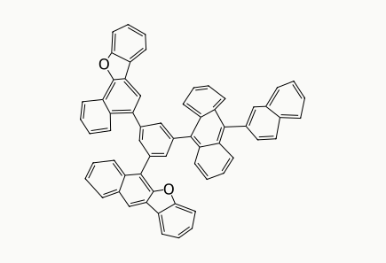 c1ccc2cc(-c3c4ccccc4c(-c4cc(-c5cc6c7ccccc7oc6c6ccccc56)cc(-c5c6ccccc6cc6c5oc5ccccc56)c4)c4ccccc34)ccc2c1